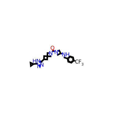 O=C(N1CC(NCc2ccc(C(F)(F)F)cc2)C1)N1CC2(CC(c3nnc(C4CC4)[nH]3)C2)C1